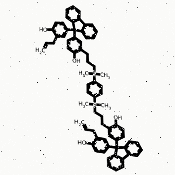 C=CCc1cc(C2(c3ccc(O)c(CCCS(C)(C)c4ccc(S(C)(C)CCCc5cc(C6(c7ccc(O)c(CC=C)c7)c7ccccc7-c7ccccc76)ccc5O)cc4)c3)c3ccccc3-c3ccccc32)ccc1O